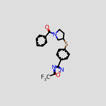 O=C(c1ccccc1)N1CCC(Sc2ccc(-c3noc(C(F)(F)F)n3)cc2)C1